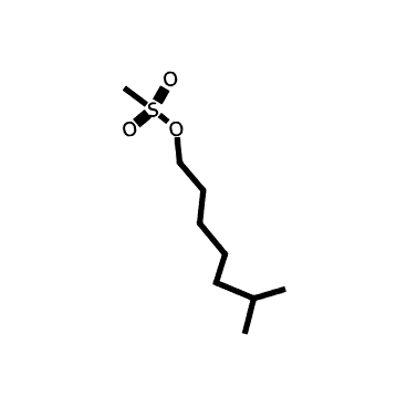 CC(C)CCCCCOS(C)(=O)=O